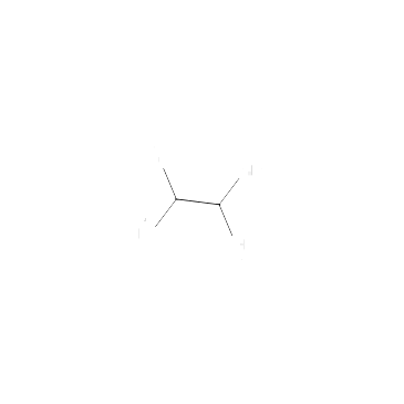 CCCC(O)C(CC)CC